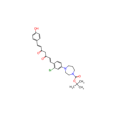 CC(C)(C)OC(=O)N1CCCN(c2ccc(/C=C/C(=O)CC(=O)/C=C/c3ccc(O)cc3)c(Br)c2)CC1